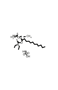 C.CC.CCCCCCCCCCCC(=O)OC(=S)N(CC)CC.COC(N)=S.N.O=S(=O)(O)O